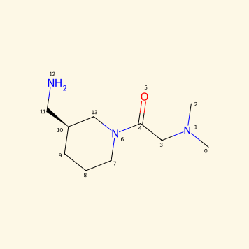 CN(C)CC(=O)N1CCC[C@@H](CN)C1